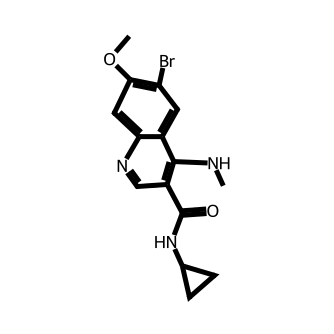 CNc1c(C(=O)NC2CC2)cnc2cc(OC)c(Br)cc12